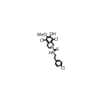 COc1c(O)c(Cl)c2c(c1Cl)CCN(C(=S)NCCc1ccc(Cl)cc1)C2